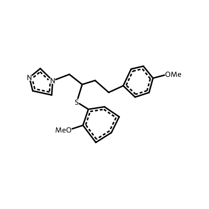 COc1ccc(CCC(Cn2ccnc2)Sc2ccccc2OC)cc1